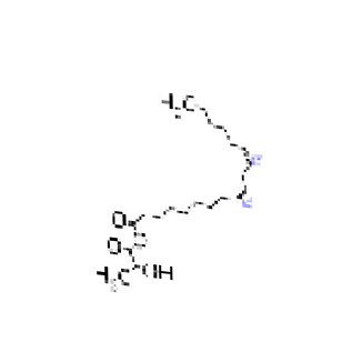 CCCCC/C=C\C/C=C\CCCCCCCC(=O)OC(=O)C(C)O